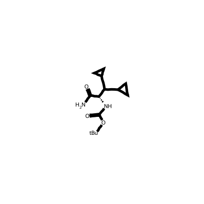 CC(C)(C)OC(=O)N[C@H](C(N)=O)C(C1CC1)C1CC1